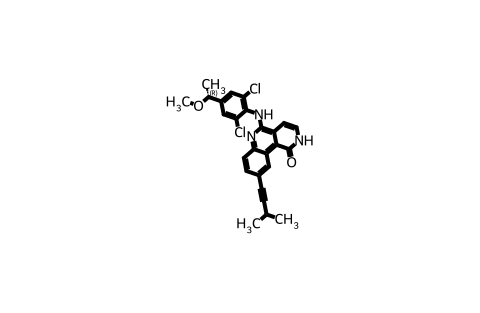 CO[C@H](C)c1cc(Cl)c(Nc2nc3ccc(C#CC(C)C)cc3c3c(=O)[nH]ccc23)c(Cl)c1